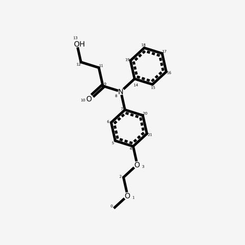 COCOc1ccc(N(C(=O)CCO)c2ccccc2)cc1